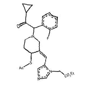 CCOC(=O)Cn1cncc1/C=C1/CN(C(C(=O)C2CC2)c2ccccc2F)CCC1SC(C)=O